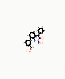 O=C(NO)C(c1ccccc1)c1cccc(-c2cccc(CO)c2)c1